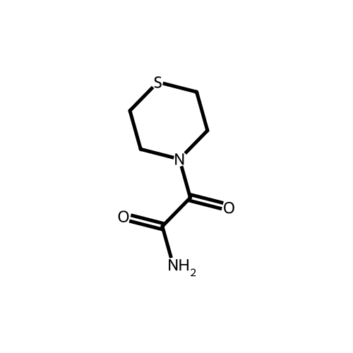 NC(=O)C(=O)N1CCSCC1